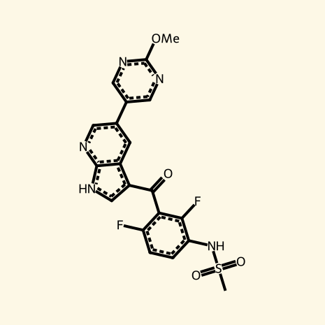 COc1ncc(-c2cnc3[nH]cc(C(=O)c4c(F)ccc(NS(C)(=O)=O)c4F)c3c2)cn1